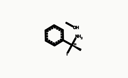 CO.C[C@@](N)(I)c1ccccc1